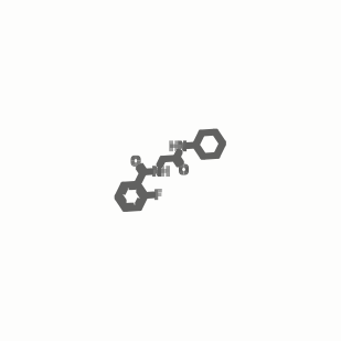 O=C(CNC(=O)c1ccccc1F)NC1CCCCC1